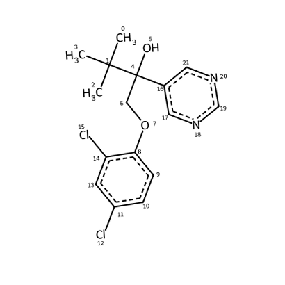 CC(C)(C)C(O)(COc1ccc(Cl)cc1Cl)c1cncnc1